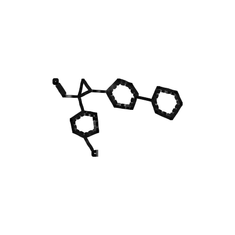 O=CC1(c2ccc(Cl)cc2)CC1c1ccc(-c2ccccc2)cc1